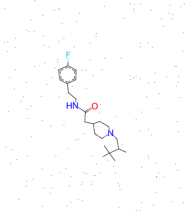 CC(CN1CCC(CC(=O)NCCc2ccc(F)cc2)CC1)C(C)(C)C